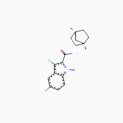 Cn1c(C(=O)N[C@@H]2C[C@@H]3CC[C@H]2C3)c(Cl)c2cc(Br)ccc21